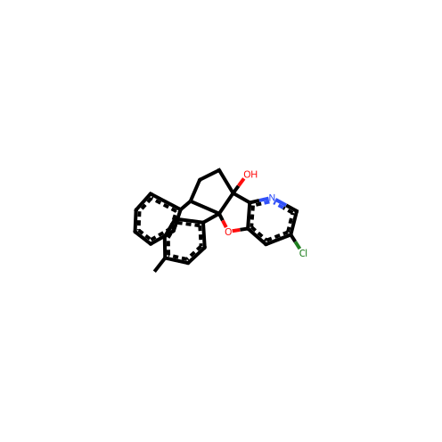 Cc1ccc(C23Oc4cc(Cl)cnc4C2(O)CCC3c2ccccc2)cc1